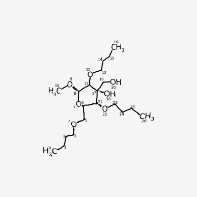 CCCCOCC1O[C@@H](OC)C(OCCCC)[C@](O)(CO)[C@H]1OCCCC